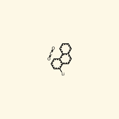 O=C=O.[Li][c]1cccc2c1ccc1ccccc12